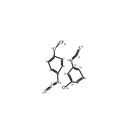 FC(F)(F)Oc1ccc(N=C=S)cc1.S=C=Nc1cccc(Cl)c1